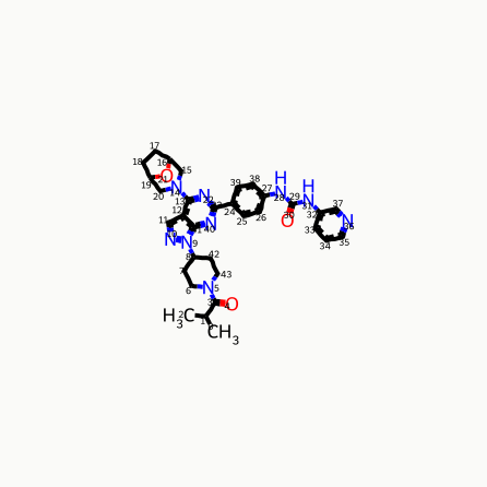 CC(C)C(=O)N1CCC(n2ncc3c(N4CC5CCC(C4)O5)nc(-c4ccc(NC(=O)Nc5cccnc5)cc4)nc32)CC1